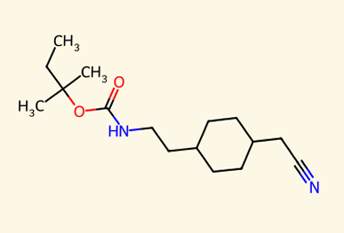 CCC(C)(C)OC(=O)NCCC1CCC(CC#N)CC1